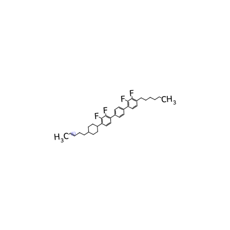 C/C=C/CCC1CCC(c2ccc(-c3ccc(-c4ccc(CCCCCC)c(F)c4F)cc3)c(F)c2F)CC1